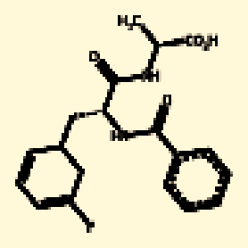 C[C@H](NC(=O)[C@@H](CC1C=CC=C(F)C1)NC(=O)c1ccccc1)C(=O)O